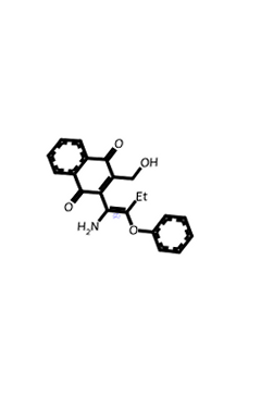 CC/C(Oc1ccccc1)=C(/N)C1=C(CO)C(=O)c2ccccc2C1=O